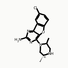 CC1CN[C@H](C)CN1c1nc(N)nc2c1oc1ccc(Cl)cc12